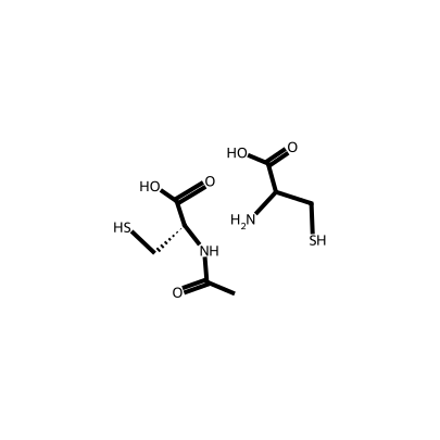 CC(=O)N[C@H](CS)C(=O)O.NC(CS)C(=O)O